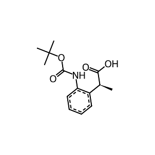 C[C@H](C(=O)O)c1ccccc1NC(=O)OC(C)(C)C